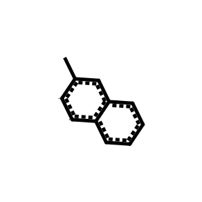 Cc1[c][c]c2ccccc2c1